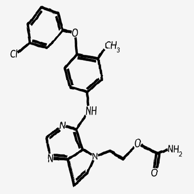 Cc1cc(Nc2ncnc3ccn(CCOC(N)=O)c23)ccc1Oc1cccc(Cl)c1